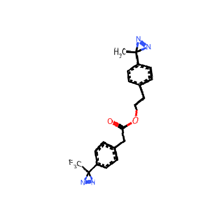 CC1(c2ccc(CCOC(=O)Cc3ccc(C4(C(F)(F)F)N=N4)cc3)cc2)N=N1